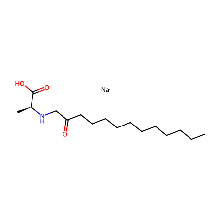 CCCCCCCCCCCC(=O)CN[C@@H](C)C(=O)O.[Na]